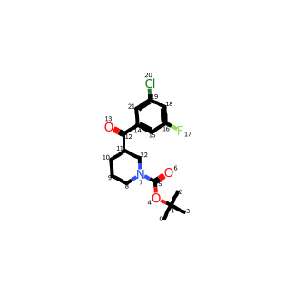 CC(C)(C)OC(=O)N1CCC[C@@H](C(=O)c2cc(F)cc(Cl)c2)C1